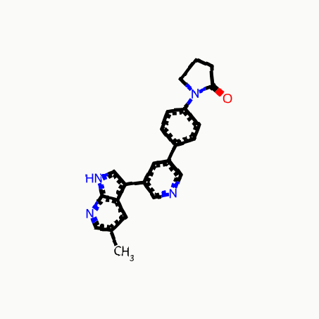 Cc1cnc2[nH]cc(-c3cncc(-c4ccc(N5CCCC5=O)cc4)c3)c2c1